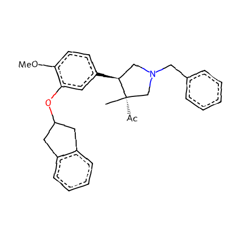 COc1ccc([C@H]2CN(Cc3ccccc3)C[C@]2(C)C(C)=O)cc1OC1Cc2ccccc2C1